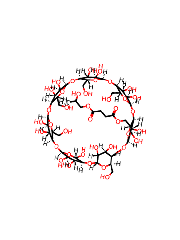 CC(O)COC(=O)CCC(=O)OC[C@H]1O[C@@H]2O[C@H]3[C@H](O)[C@@H](O)[C@@H](O[C@H]4[C@H](O)[C@@H](O)[C@@H](O[C@H]5[C@H](O)[C@@H](O)[C@@H](O[C@H]6[C@H](O)[C@@H](O)[C@@H](O[C@H]7[C@H](O)[C@@H](O)[C@@H](O[C@H]8[C@H](O)[C@@H](O)[C@@H](O[C@H]1[C@H](O)[C@H]2O)O[C@@H]8CO)O[C@@H]7CO)O[C@@H]6CO)O[C@@H]5CO)O[C@@H]4O)O[C@@H]3CO